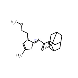 COCCn1cc(C)s/c1=N\C(=O)C12CC3CC(C1)C(F)(F)C(C3)C2